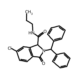 CCCNC(=O)C1c2cc(Cl)ccc2C(=O)N1C(c1ccccc1)c1ccccc1